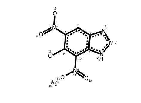 O=[N+]([O-])c1cc2nn[nH]c2c([N+](=O)[O-])c1Cl.[Ag]